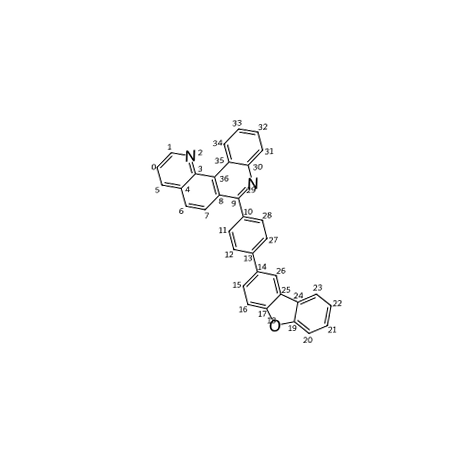 c1cnc2c(c1)ccc1c(-c3ccc(-c4ccc5oc6ccccc6c5c4)cc3)nc3ccccc3c12